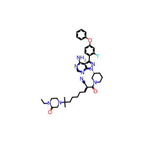 CCN1CCN(C(C)(C)CCCC/C=C(\C#N)C(=O)N2CCC[C@@H](n3nc(-c4ccc(Oc5ccccc5)cc4F)c4c(N)ncnc43)C2)CC1=O